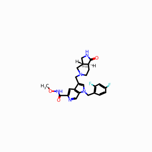 CONC(=O)c1cc2c(CN3CC[C@@H]4C(=O)NC[C@H]4C3)cn(Cc3ccc(F)cc3F)c2cn1